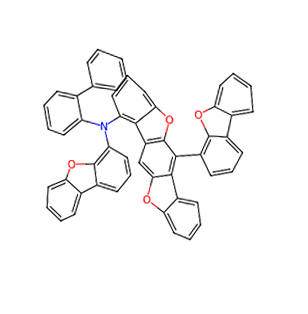 c1ccc(-c2ccccc2N(c2cccc3c2oc2ccccc23)c2cccc3oc4c(-c5cccc6c5oc5ccccc56)c5c(cc4c23)oc2ccccc25)cc1